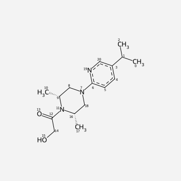 CC(C)c1ccc(N2C[C@@H](C)N(C(=O)CO)[C@@H](C)C2)nc1